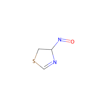 O=NC1CSC=N1